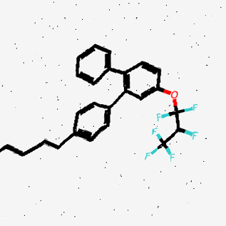 CCCCCc1ccc(-c2cc(OC(F)(F)C(F)C(F)(F)F)ccc2-c2ccccc2)cc1